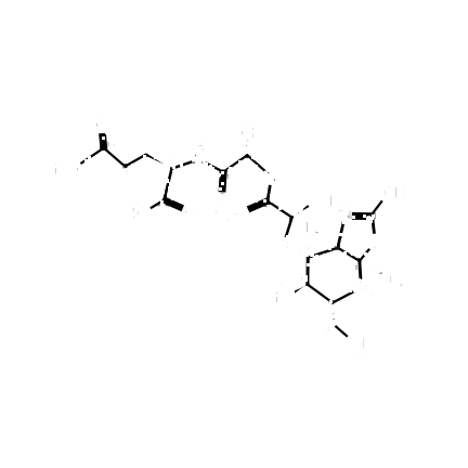 CC1=N[C@@H]2[C@@H](O[C@H](C)C(=O)N[C@@H](C)C(=O)N[C@H](CCC(=O)O)C(=O)O)[C@H](O)[C@@H](CO)O[C@@H]2S1